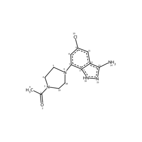 CC(=O)N1CCN(c2cc(Cl)cc3c(N)n[nH]c23)CC1